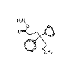 CCCC(CCC(=O)O[SiH3])(c1ccccc1)c1ccccc1